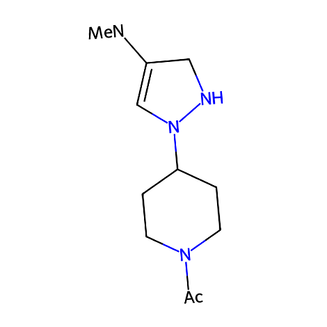 CNC1=CN(C2CCN(C(C)=O)CC2)NC1